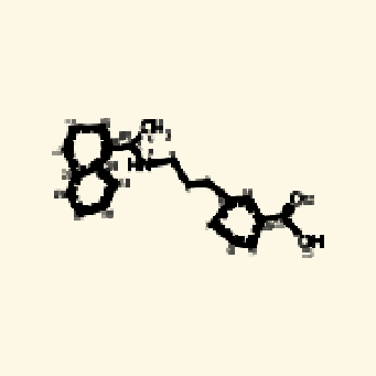 C[C@@H](NCCCc1cccc(C(=O)O)c1)c1cccc2ccccc12